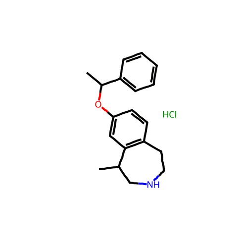 CC1CNCCc2ccc(OC(C)c3ccccc3)cc21.Cl